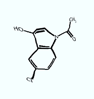 CC(=O)n1cc(O)c2cc(Cl)ccc21